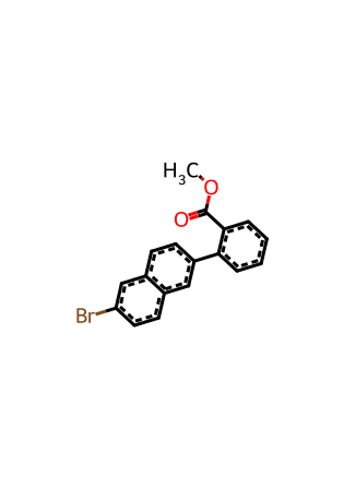 COC(=O)c1ccccc1-c1ccc2cc(Br)ccc2c1